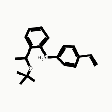 C=Cc1ccc([SiH2]c2ccccc2C(C)OC(C)(C)C)cc1